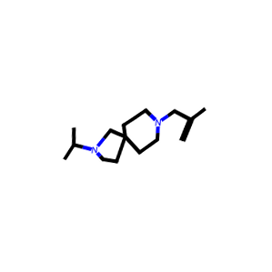 C=C(C)CN1CCC2(CC1)CCN(C(C)C)C2